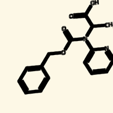 CC(C(=O)O)N(C(=O)OCc1ccccc1)c1ccccn1